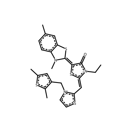 CCn1c(=O)/c(=C2\Sc3cc(C)ccc3N2C)s/c1=C\c1scc[n+]1Cc1cc(C)sc1C